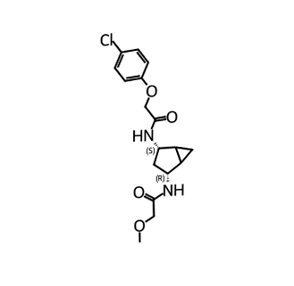 COCC(=O)N[C@@H]1C[C@H](NC(=O)COc2ccc(Cl)cc2)C2CC21